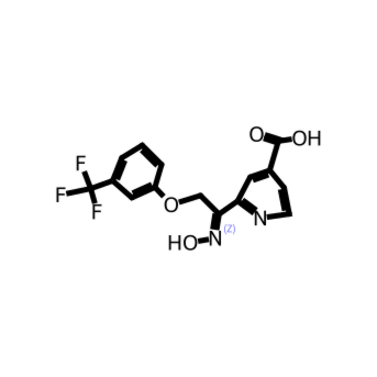 O=C(O)c1ccnc(/C(COc2cccc(C(F)(F)F)c2)=N/O)c1